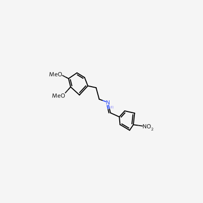 COc1ccc(CC/N=C/c2ccc([N+](=O)[O-])cc2)cc1OC